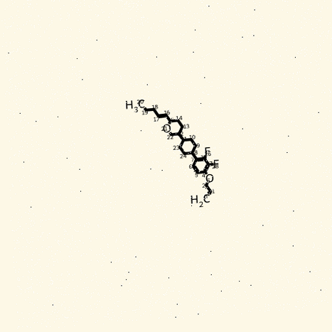 C=CCOc1ccc(C2CCC(C3CCC(/C=C/CCC)OC3)CC2)c(F)c1F